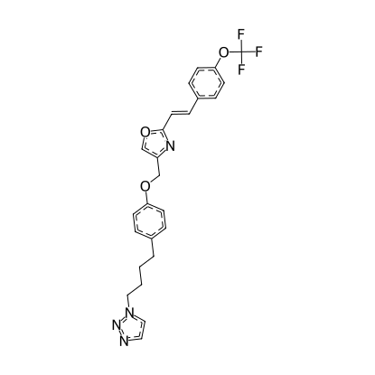 FC(F)(F)Oc1ccc(/C=C/c2nc(COc3ccc(CCCCn4ccnn4)cc3)co2)cc1